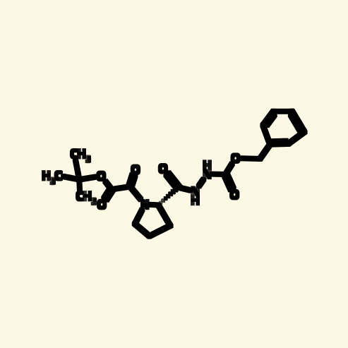 CC(C)(C)OC(=O)C(=O)N1CCC[C@H]1C(=O)NNC(=O)OCc1ccccc1